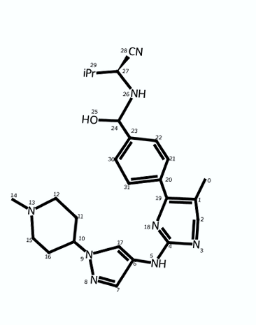 Cc1cnc(Nc2cnn(C3CCN(C)CC3)c2)nc1-c1ccc(C(O)N[C@H](C#N)C(C)C)cc1